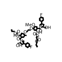 C=CCOC(=O)COC(=O)Nc1cc(OCCCOc2cc(NC(=O)OCC=C)c(C(=O)N3C=C(c4ccc(F)cc4)C[C@H]3CO)cc2C)c(OC)cc1C(=O)N1C=C(c2ccc(F)cc2)C[C@H]1CO